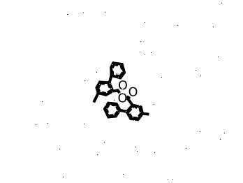 Cc1ccc(-c2ccccc2)c(C(=O)OC(=O)c2cc(C)ccc2-c2ccccc2)c1